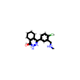 CNCc1cc(-c2n[nH]c(=O)c3c2CCCC3)ccc1Cl